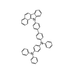 c1ccc(N(c2ccccc2)c2ccc(N(c3ccccc3)c3ccc(-c4ccc(-n5c6ccccc6c6ccc7ccccc7c65)cc4)cc3)cc2)cc1